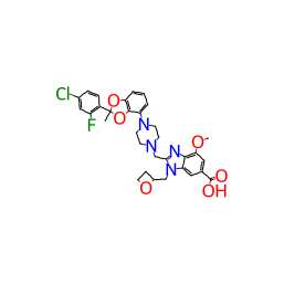 COc1cc(C(=O)O)cc2c1nc(CN1CCN(c3cccc4c3OC(C)(c3ccc(Cl)cc3F)O4)CC1)n2CC1CCO1